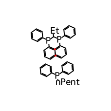 CCC(P(c1ccccc1)c1ccccc1)P(c1ccccc1)c1ccccc1.CCCCCP(c1ccccc1)c1ccccc1